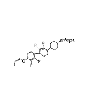 C/C=C\Oc1ccc(-c2ccc(C3CCC(CCCCCCC)CC3)c(F)c2F)c(F)c1F